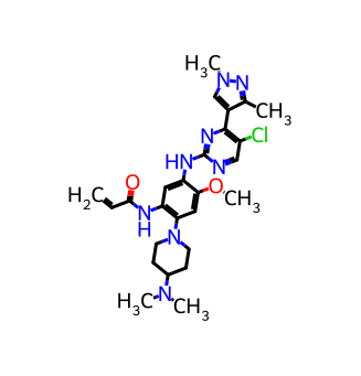 C=CC(=O)Nc1cc(Nc2ncc(Cl)c(-c3cn(C)nc3C)n2)c(OC)cc1N1CCC(N(C)C)CC1